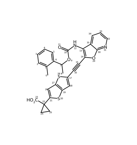 Cc1ccccc1C(C)OC(=O)Nc1c(C#Cc2cc3sc(C4(C(=O)O)CC4)cc3s2)oc2ncccc12